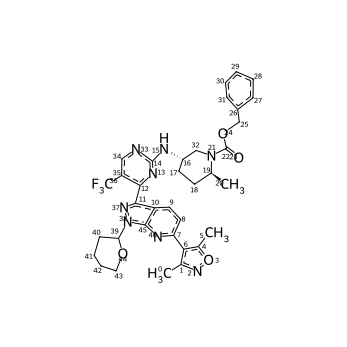 Cc1noc(C)c1-c1ccc2c(-c3nc(N[C@H]4CC[C@H](C)N(C(=O)OCc5ccccc5)C4)ncc3C(F)(F)F)nn(C3CCCCO3)c2n1